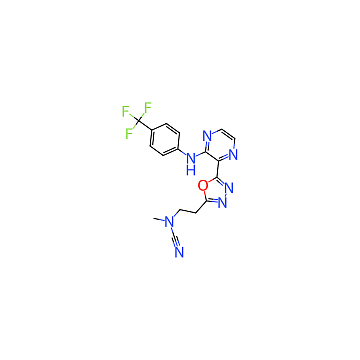 CN(C#N)CCc1nnc(-c2nccnc2Nc2ccc(C(F)(F)F)cc2)o1